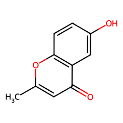 Cc1cc(=O)c2cc(O)ccc2o1